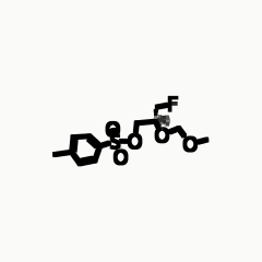 COCO[C@@H](CF)COS(=O)(=O)c1ccc(C)cc1